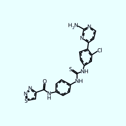 Nc1nccc(-c2ccc(NC(=S)Nc3ccc(NC(=O)c4csnn4)cc3)cc2Cl)n1